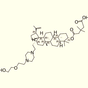 C=C(C)[C@@H]1CC[C@]2(CCN3CCN(CCOCCO)CC3)CC[C@]3(C)[C@H](CC[C@@H]4[C@@]5(C)CC[C@H](OC(=O)CC(C)(C)CC(=O)O)C(C)(C)[C@@H]5CC[C@]43C)[C@@H]12